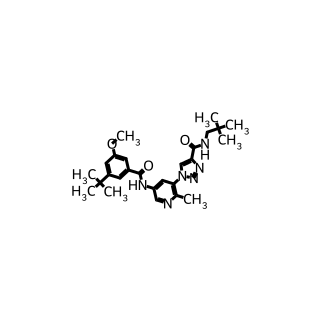 COc1cc(C(=O)Nc2cnc(C)c(-n3cc(C(=O)NCC(C)(C)C)nn3)c2)cc(C(C)(C)C)c1